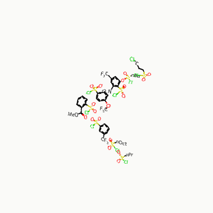 CCCCCCCCS(=O)(=O)Cl.CCCCS(=O)(=O)Cl.CCCS(=O)(=O)Cl.COC(=O)c1ccccc1S(=O)(=O)Cl.O=S(=O)(Cl)CCCCl.O=S(=O)(Cl)c1ccc(OC(F)(F)F)cc1.O=S(=O)(Cl)c1cccc(C(F)(F)F)c1.O=[N+]([O-])c1cc(C(F)(F)F)ccc1S(=O)(=O)Cl